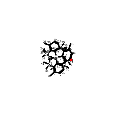 Cc1ccc([Si](C)(C)C)c([Si](Cl)(c2c([Si](C)(C)C)ccc(C)c2[Si](C)(C)C)c2c([Si](C)(C)C)ccc(C)c2[Si](C)(C)C)c1[Si](C)(C)C